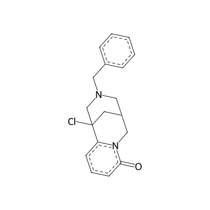 O=c1cccc2n1CC1CN(Cc3ccccc3)CC2(Cl)C1